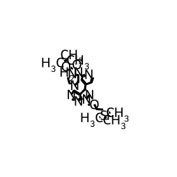 CC(C)(C)OC(=O)N1CCN(c2ncnc3c2c(-c2ccnc(N)c2)nn3COCC[Si](C)(C)C)CC1